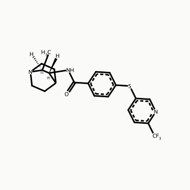 C[C@H]1[C@H](NC(=O)c2ccc(Sc3ccc(C(F)(F)F)nc3)cc2)C2CCN1CC2